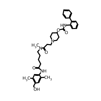 Cc1cc(NC(=O)CCCCN(C)C(=O)CCN2CCC(OC(=O)Nc3ccccc3-c3ccccc3)CC2)c(C)cc1CO